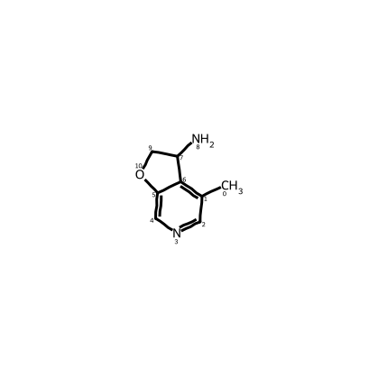 Cc1cncc2c1C(N)CO2